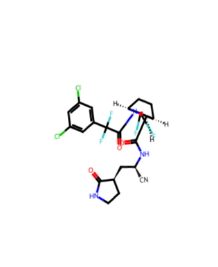 N#C[C@@H](C[C@H]1CCNC1=O)NC(=O)[C@@H]1[C@@H]2CC[C@@H](CC2(F)F)N1C(=O)C(F)(F)c1cc(Cl)cc(Cl)c1